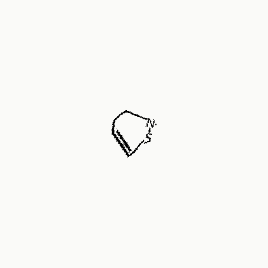 C1=CS[N]C1